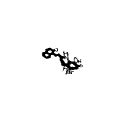 O=C1C=CC2C=CC=CC2/C1=C/C=C1\C=C[C@H]2C(Br)=CC(Br)=C(O)C2N1